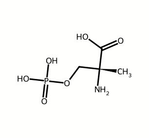 C[C@@](N)(COP(=O)(O)O)C(=O)O